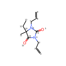 C=CCN1C(=O)N(CC=C)C(C)(CC)C1=O